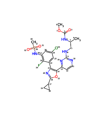 COC(=O)NC(C)CNc1nccc(-c2oc(C3CC3)nc2-c2cc(Cl)cc(NS(C)(=O)=O)c2F)n1